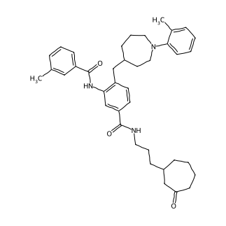 Cc1cccc(C(=O)Nc2cc(C(=O)NCCCC3CCCCC(=O)C3)ccc2CC2CCCN(c3ccccc3C)CC2)c1